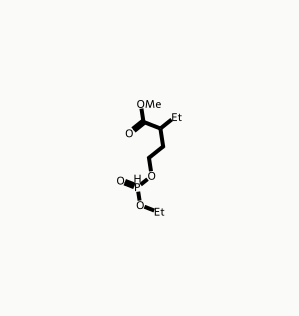 CCO[PH](=O)OCCC(CC)C(=O)OC